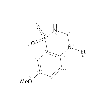 CCN1CNS(=O)(=O)c2cc(OC)ccc21